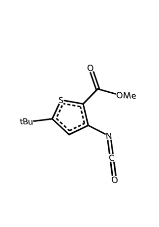 COC(=O)c1sc(C(C)(C)C)cc1N=C=O